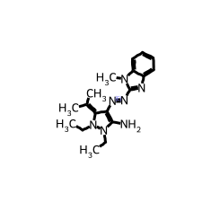 CCN1C(N)=C(/N=N/c2nc3ccccc3n2C)C(=C(C)C)N1CC